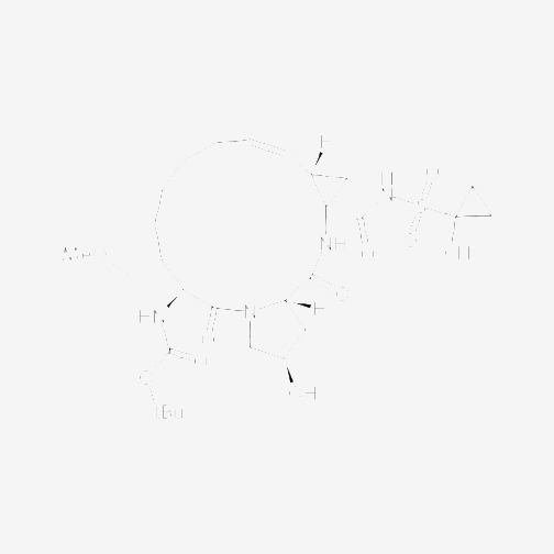 COC[C@@H]1CCCC/C=C\[C@@H]2C[C@@]2(C(=O)NS(=O)(=O)C2(C)CC2)NC(=O)[C@@H]2C[C@@H](O)CN2C(=O)[C@H]1NC(=O)OC(C)(C)C